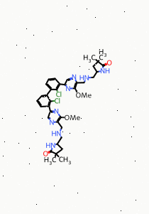 COc1nc(-c2cccc(-c3cccc(-c4cnc(CNCC5CC(C)(C)C(=O)N5)c(OC)n4)c3Cl)c2Cl)cnc1CNCC1CC(C)(C)C(=O)N1